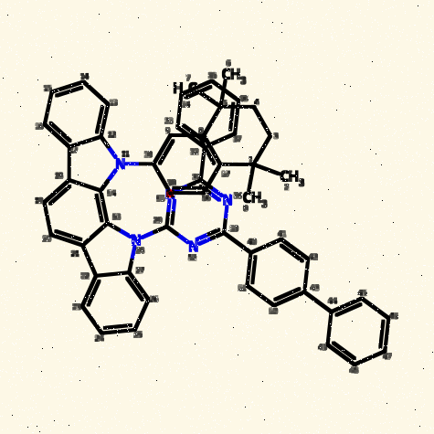 CC1(C)CCC(C)(C)c2cc(-n3c4ccccc4c4ccc5c6ccccc6n(-c6nc(-c7ccccc7)nc(-c7ccc(-c8ccccc8)cc7)n6)c5c43)ccc21